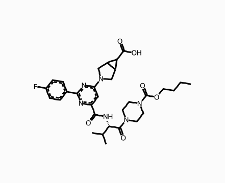 CCCCOC(=O)N1CCN(C(=O)[C@@H](NC(=O)c2cc(N3CC4C(C3)C4C(=O)O)nc(-c3ccc(F)cc3)n2)C(C)C)CC1